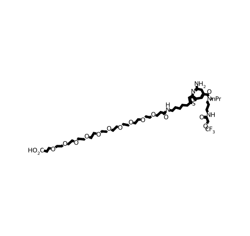 CCCN(CCCNC(=O)COC(F)(F)F)C(=O)C1=Cc2sc(CCCCCNC(=O)CCOCCOCCOCCOCCOCCOCCOCCOCCOCCOCCC(=O)O)cc2N=C(N)C1